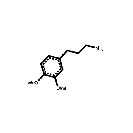 COc1ccc(C[CH]CN)cc1OC